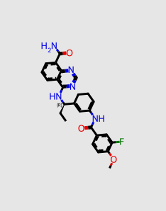 CC[C@@H](Nc1ncnc2c(C(N)=O)cccc12)C1=CC(NC(=O)c2ccc(OC)c(F)c2)=CCC1